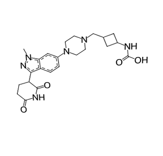 Cn1nc(C2CCC(=O)NC2=O)c2ccc(N3CCN(CC4CC(NC(=O)O)C4)CC3)cc21